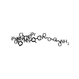 Cc1cc(Nc2ncc(Cl)c(Nc3ccccc3S(=O)(=O)C(C)C)n2)c(OC(C)C)cc1C1CCN(C(=O)CCOCCOCCC(N)=O)CC1